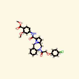 COC(=O)c1ccc(NC(=O)c2ccc3n2Cc2ccccc2N(C(=O)COc2ccc(Cl)cc2)C3)cc1OC